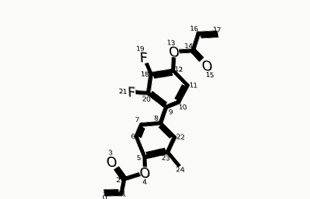 C=CC(=O)Oc1ccc(-c2ccc(OC(=O)C=C)c(F)c2F)cc1C